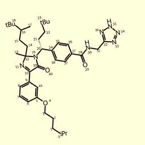 CC(C)CCCOc1cccc(C2=NC(C)(CCC(C)C(C)(C)C)N([C@H](CCC(C)(C)C)c3ccc(C(=O)NCc4nn[nH]n4)cc3)C2=O)c1